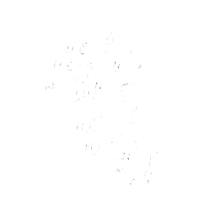 C=C(c1ccc(-c2cccn3c(=O)c(C)c(C(C)(C)F)nc23)cc1C)N1CCOCC1